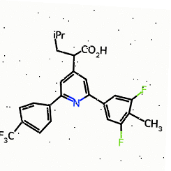 Cc1c(F)cc(-c2cc(C(CC(C)C)C(=O)O)cc(-c3ccc(C(F)(F)F)cc3)n2)cc1F